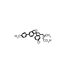 Cc1ccc(-c2ccc3c(c2)COC3(CCCN(C)CC(=O)O)c2ccc(Cl)cc2)cc1